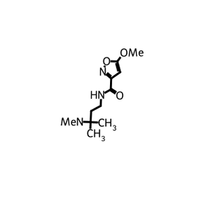 CNC(C)(C)CCNC(=O)c1cc(OC)on1